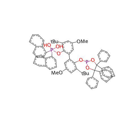 COc1cc(-c2cc(OC)cc(C(C)(C)C)c2OP(O)(O)(c2cccc3ccccc23)c2cccc3ccccc23)c(OP2OC(c3ccccc3)(c3ccccc3)C(c3ccccc3)(c3ccccc3)O2)c(C(C)(C)C)c1